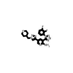 Nc1ncc(-c2cn(CC3CCOCC3)nn2)cc1-c1nnnn1-c1cccc(F)c1F